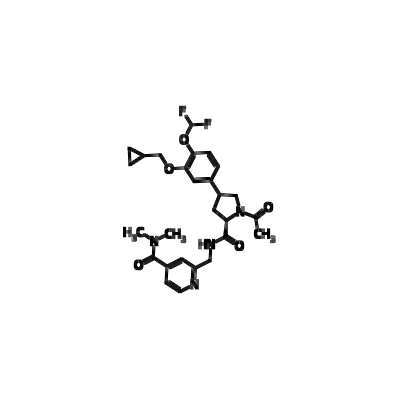 CC(=O)N1CC(c2ccc(OC(F)F)c(OCC3CC3)c2)C[C@@H]1C(=O)NCc1cc(C(=O)N(C)C)ccn1